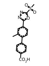 Cc1cc(-c2nnc(S(C)(=O)=O)o2)ccc1-c1ccc(C(=O)O)cc1